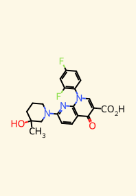 CC1(O)CCCN(c2ccc3c(=O)c(C(=O)O)cn(-c4ccc(F)cc4F)c3n2)C1